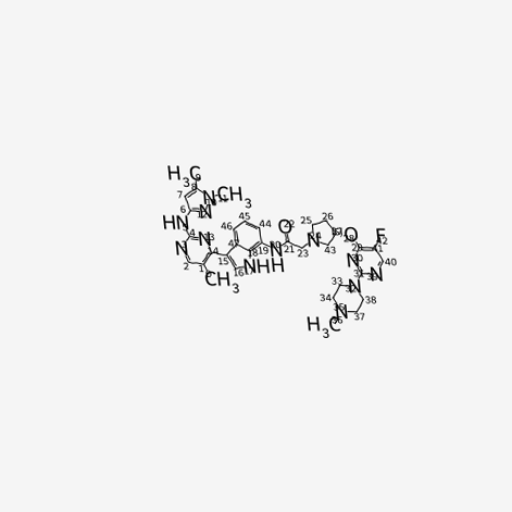 Cc1cnc(Nc2cc(C)n(C)n2)nc1-c1c[nH]c2c(NC(=O)CN3CC[C@H](Oc4nc(N5CCN(C)CC5)ncc4F)C3)cccc12